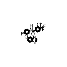 O=C(Nc1ccc(F)c(Oc2ccc3nccnc3c2)c1)c1ccc(C(F)(F)F)c(Cl)c1